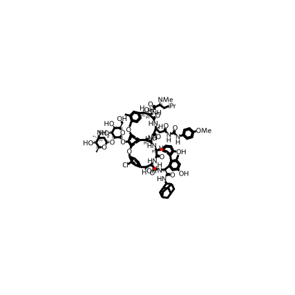 CN[C@H](CC(C)C)C(=O)N[C@H]1C(=O)N[C@@H](CC(=O)NC(=O)Nc2ccc(OC)cc2)C(=O)N[C@H]2C(=O)N[C@H]3C(=O)N[C@H](C(=O)N[C@H](C(=O)NC4C5CC6CC(C5)CC4C6)c4cc(O)cc(C)c4-c4cc3ccc4O)[C@H](O)c3ccc(c(Cl)c3)Oc3cc2cc(c3O[C@@H]2O[C@H](CO)[C@@H](O)[C@H](O)[C@H]2O[C@H]2C[C@](C)(N)[C@H](O)[C@H](C)O2)Oc2ccc(cc2C)[C@H]1O